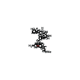 CC[C@@H]1CC(C(=O)O[C@@H]2C[C@@H]3C[C@@H](N)CC[C@]3(C)[C@H]3C[C@H](O)[C@]4(C)[C@@H]([C@H](C)CCC(=O)OC)CC[C@H]4[C@H]23)C[C@@H](O[C@@H]2O[C@@H](CO)[C@H](O)C(O[C@@H](CC3CCCCC3)C(=O)O)C2NC(C)=O)[C@@H]1OC1O[C@@H](C)[C@H](O)C(O)[C@@H]1O